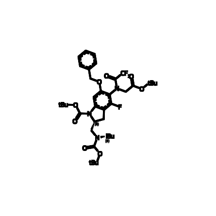 CC[C@@H](C)N(C[C@H]1Cc2c(cc(OCc3ccccc3)c(N(CC(=O)OC(C)(C)C)C(=O)C(F)(F)F)c2F)N1C(=O)OC(C)(C)C)C(=O)OC(C)(C)C